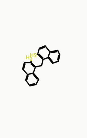 Sc1ccc2ccccc2c1Cc1c(S)ccc2ccccc12